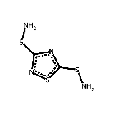 NSc1nsc(SN)n1